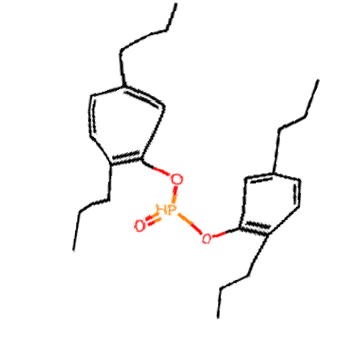 CCCc1ccc(CCC)c(O[PH](=O)Oc2cc(CCC)ccc2CCC)c1